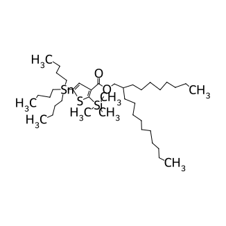 CCCCCCCCCCC(CCCCCCCC)COC(=O)c1c[c]([Sn]([CH2]CCC)([CH2]CCC)[CH2]CCC)sc1[Si](C)(C)C